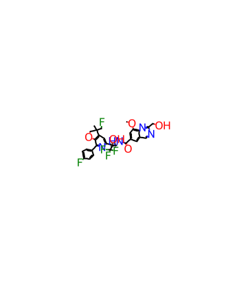 COc1cc(C(=O)NC[C@](O)(c2cc3c(c(-c4ccc(F)cc4)n2)OCC3(C)CF)C(F)(F)F)cc2cnc(CO)nc12